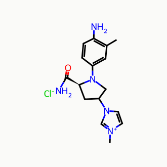 Cc1cc(N2CC(n3cc[n+](C)c3)C[C@H]2C(N)=O)ccc1N.[Cl-]